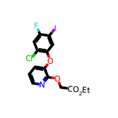 CCOC(=O)COc1ncccc1Oc1cc(I)c(F)cc1Cl